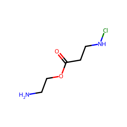 NCCOC(=O)CCNCl